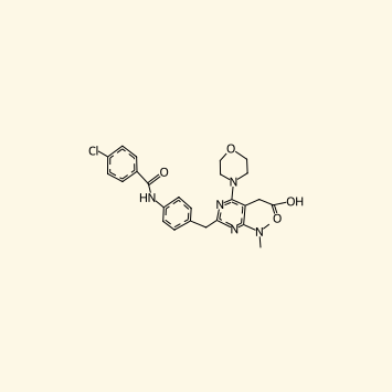 CN(C)c1nc(Cc2ccc(NC(=O)c3ccc(Cl)cc3)cc2)nc(N2CCOCC2)c1CC(=O)O